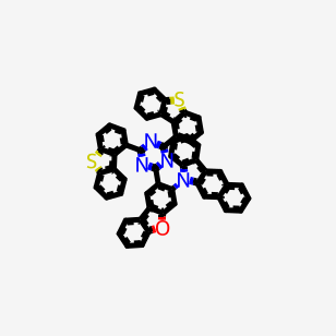 c1ccc2cc3c(cc2c1)c1ccccc1n3-c1cc2oc3ccccc3c2cc1-c1nc(-c2cccc3sc4ccccc4c23)nc(-c2cccc3sc4ccccc4c23)n1